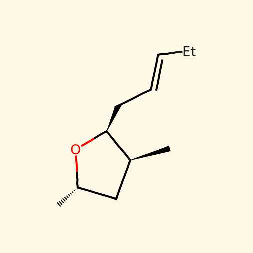 CC/C=C/C[C@@H]1O[C@@H](C)C[C@@H]1C